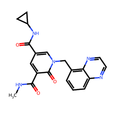 CNC(=O)c1cc(C(=O)NC2CC2)cn(Cc2cccc3nccnc23)c1=O